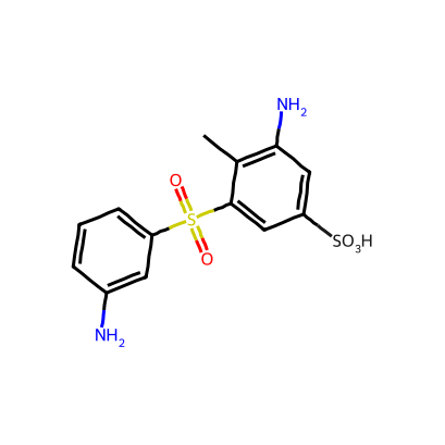 Cc1c(N)cc(S(=O)(=O)O)cc1S(=O)(=O)c1cccc(N)c1